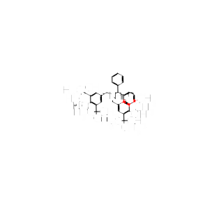 CC(C)(C)c1cc(CN(Cc2cc(C(C)(C)C)c(O)c(C(C)(C)C)c2)C(c2ccccc2)c2ccccc2)cc(C(C)(C)C)c1O